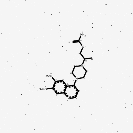 COc1cc2nccc(N3CCN(C(C)COC(N)=O)CC3)c2cc1OC